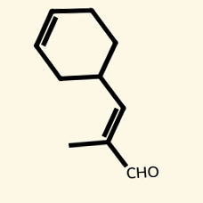 CC(C=O)=CC1CC=CCC1